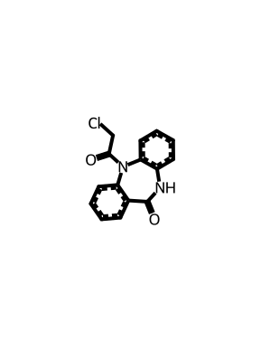 O=C1Nc2ccccc2N(C(=O)CCl)c2ccccc21